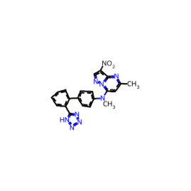 Cc1cc(N(C)c2ccc(-c3ccccc3-c3nnn[nH]3)cc2)n2ncc([N+](=O)[O-])c2n1